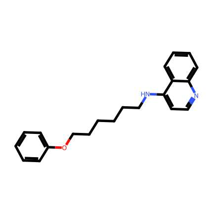 c1ccc(OCCCCCCNc2ccnc3ccccc23)cc1